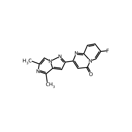 Cc1cn2nc(-c3cc(=O)n4cc(F)ccc4n3)cc2c(C)n1